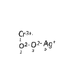 [Ag+].[Cr+3].[O-2].[O-2]